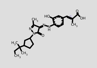 CCC(C)(C)C1CCC(N2N=C(C)C(=NNc3ccc(/C=C(\C)C(=O)O)cc3O)C2=O)C1